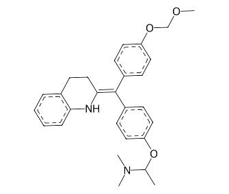 COCOc1ccc(C(=C2CCc3ccccc3N2)c2ccc(OC(C)N(C)C)cc2)cc1